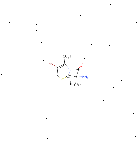 COC1(N)C(=O)N2C(C(=O)O)=C(Br)CS[C@@H]21